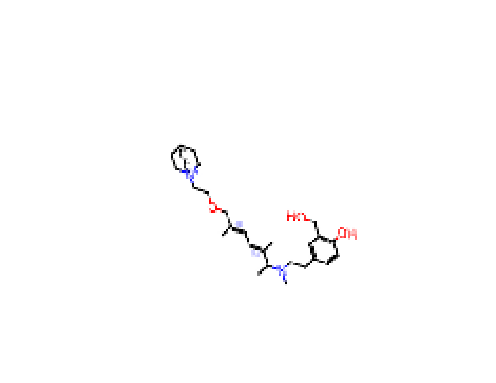 C/C(=C\C=C(/C)C(C)N(C)CCc1ccc(O)c(CO)c1)COCC[N+]12CCC(CC1)CC2